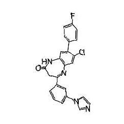 O=C1CC(c2cccc(-n3ccnc3)c2)=Nc2cc(Cl)c(-c3ccc(F)cc3)cc2N1